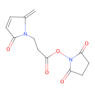 C=C1C=CC(=O)N1CCC(=O)ON1C(=O)CCC1=O